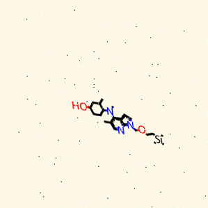 Cc1cnc2c(ccn2COCC[Si](C)(C)C)c1N(C)C1CCC(O)CC1C